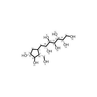 OC[C@H]1C(C[C@@H](O)[C@@H](O)[C@H](O)[C@H](O)[C@@H](O)CO)C[C@@H](O)C1O